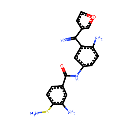 N=C(c1ccoc1)c1cc(NC(=O)c2ccc(SN)c(N)c2)ccc1N